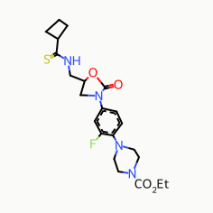 CCOC(=O)N1CCN(c2ccc(N3CC(CNC(=S)C4CCC4)OC3=O)cc2F)CC1